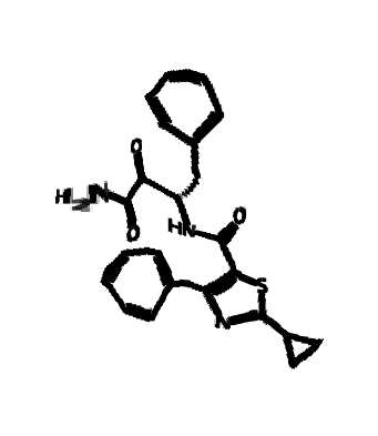 NC(=O)C(=O)[C@H](Cc1ccccc1)NC(=O)c1sc(C2CC2)nc1-c1ccccc1